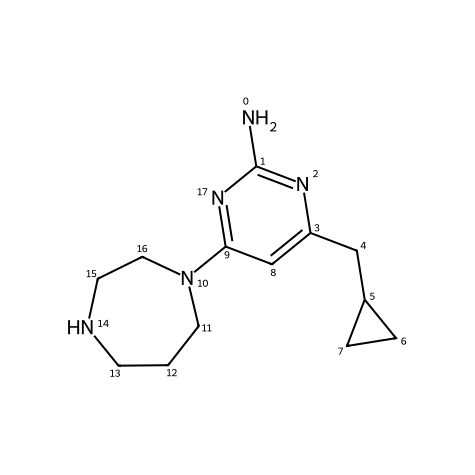 Nc1nc(CC2CC2)cc(N2CCCNCC2)n1